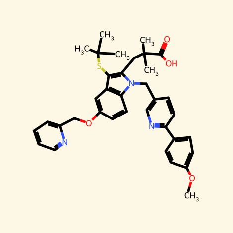 COc1ccc(-c2ccc(Cn3c(CC(C)(C)C(=O)O)c(SC(C)(C)C)c4cc(OCc5ccccn5)ccc43)cn2)cc1